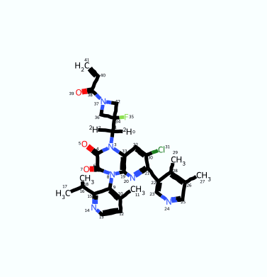 [2H]C([2H])(n1c(=O)c(=O)n(-c2c(C)ccnc2C(C)C)c2nc(-c3cncc(C)c3C)c(Cl)cc21)C1(F)CN(C(=O)C=C)C1